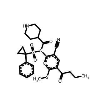 CCCC(=O)c1cc(C#N)c(N(C(=O)C2CCNCC2)S(=O)(=O)C2(c3ccccc3)CC2)nc1SC